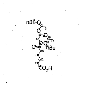 CCCCOC(C)OC(COC(=O)CCCCC(=O)O)OC(C)OCCCC